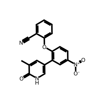 Cc1cc(-c2cc([N+](=O)[O-])ccc2Oc2ccccc2C#N)c[nH]c1=O